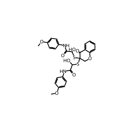 COc1ccc(NC(=O)C(O)SC2(SC(O)C(=O)Nc3ccc(OC)cc3)COc3ccccc3C2=O)cc1